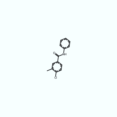 Cc1cc(C(=O)Nc2ccccc2)ccc1Cl